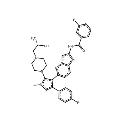 Cn1nc(-c2ccc(F)cc2)c(-c2ccc3nc(NC(=O)c4ccnc(F)c4)cn3n2)c1N1CCN(C[C@@H](O)C(F)(F)F)CC1